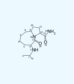 CC(C)NC1CCCCC2CCC(C(N)=O)N2C1=O